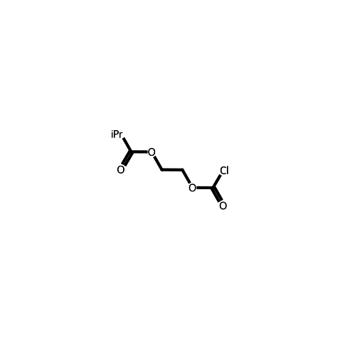 CC(C)C(=O)OCCOC(=O)Cl